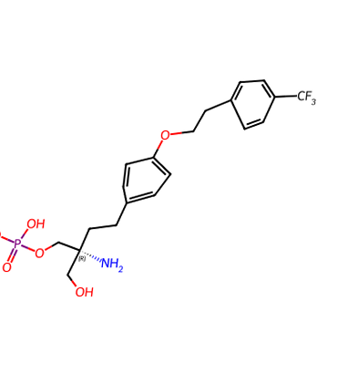 N[C@@](CO)(CCc1ccc(OCCc2ccc(C(F)(F)F)cc2)cc1)COP(=O)(O)O